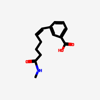 CNC(=O)CCC/C=C\c1cccc(C(=O)O)c1